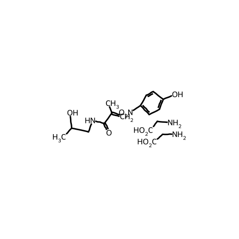 C=C(C)C(=O)NCC(C)O.NCC(=O)O.NCC(=O)O.O=[N+]([O-])c1ccc(O)cc1